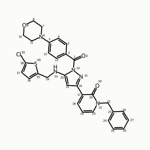 O=C(c1ccc(N2CCOCC2)cc1)n1nc(-c2cccn(Cc3ccccc3)c2=O)cc1NCc1ccc(Cl)s1